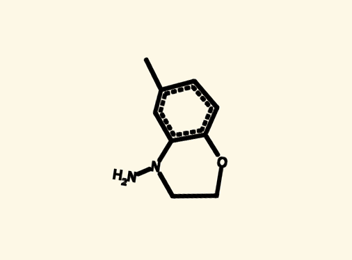 Cc1ccc2c(c1)N(N)CCO2